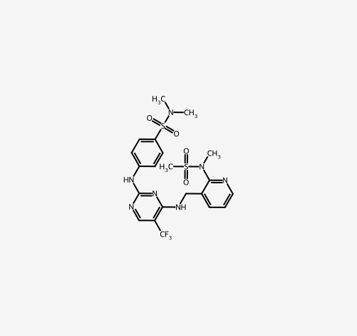 CN(c1ncccc1CNc1nc(Nc2ccc(S(=O)(=O)N(C)C)cc2)ncc1C(F)(F)F)S(C)(=O)=O